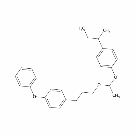 CCC(C)c1ccc(OC(C)OCCCc2ccc(Oc3ccccc3)cc2)cc1